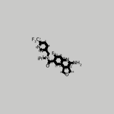 CC(C)N(Cc1ccc(C(F)(F)F)nn1)C(=O)c1cc2c3c(c(N)nc2cc1F)COC3